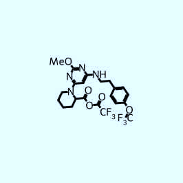 COc1nc(NCCc2ccc(OC(F)(F)F)cc2)cc(N2CCCCC2C(=O)OC(=O)C(F)(F)F)n1